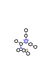 c1ccc(-c2ccc(-c3nc(-c4ccc(-c5ccccc5)cc4)nc(-c4cc(-c5ccccc5)cc(-n5c6ccccc6c6cc7c(cc65)sc5ccccc57)c4)n3)cc2)cc1